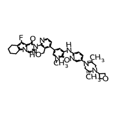 C[C@@H]1CN(c2ccc(Nc3cc(-c4ccnc(-n5ncn6c7c(c(F)c6c5=O)CCCC7)c4CO)cn(C)c3=O)nc2)[C@@H](C)CN1C1COC1